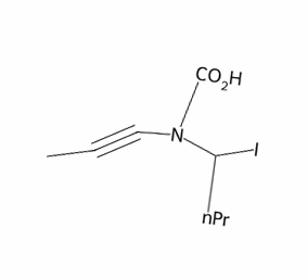 CC#CN(C(=O)O)C(I)CCC